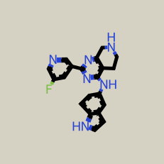 Fc1cncc(-c2nc3c(c(Nc4ccc5[nH]ccc5c4)n2)CCNC3)c1